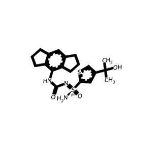 CC(C)(O)c1csc([S@](N)(=O)=NC(=O)Nc2c3c(cc4c2CCC4)CCC3)c1